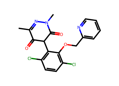 CC1=NN(C)C(=O)C(c2c(Cl)ccc(Cl)c2OCc2ccccn2)C1=O